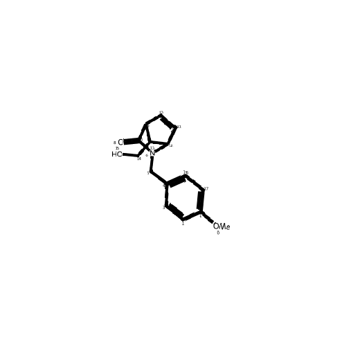 COc1ccc(CN2C(=O)C3C=CC2C3CO)cc1